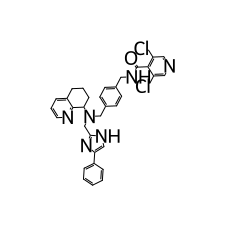 O=C(NCc1ccc(CN(Cc2nc(-c3ccccc3)c[nH]2)C2CCCc3cccnc32)cc1)c1c(Cl)cncc1Cl